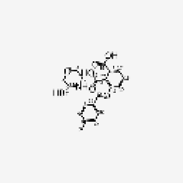 Br.C1COCCN1.Cc1ccc(COc2cccc(C(=O)O)c2C(=O)O)cc1